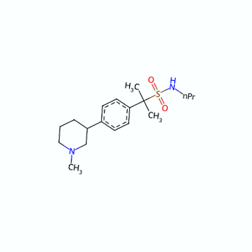 CCCNS(=O)(=O)C(C)(C)c1ccc(C2CCCN(C)C2)cc1